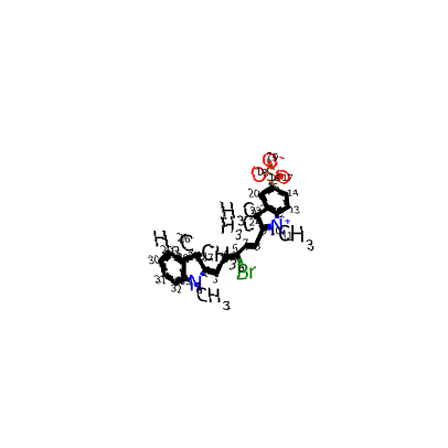 CN1/C(=C/C=C(Br)/C=C/C2=[N+](C)c3ccc(S(=O)(=O)[O-])cc3C2(C)C)C(C)(C)c2ccccc21